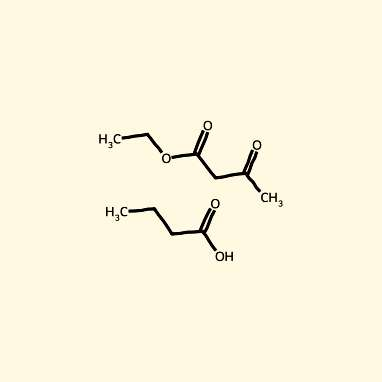 CCCC(=O)O.CCOC(=O)CC(C)=O